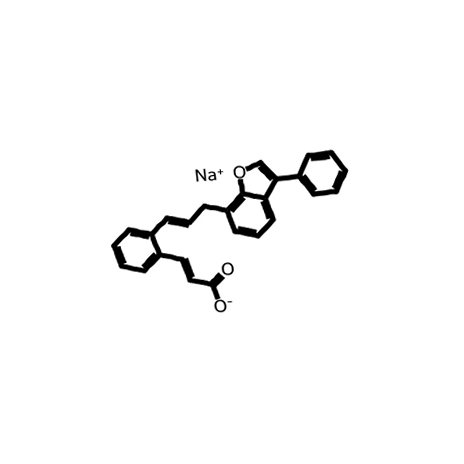 O=C([O-])/C=C/c1ccccc1/C=C/Cc1cccc2c(-c3ccccc3)coc12.[Na+]